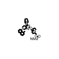 CNC(=O)OCC1CCC2(COc3nc4c(c(N5CC6CCC(C5)N6)n3)CCN(c3cccc5cccc(C)c35)C4)CCCN12